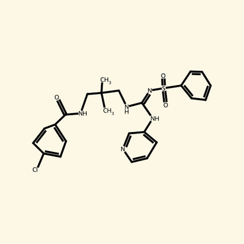 CC(C)(CNC(=O)c1ccc(Cl)cc1)CNC(=NS(=O)(=O)c1ccccc1)Nc1cccnc1